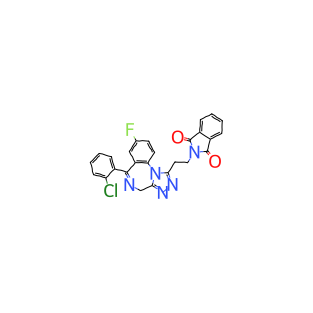 O=C1c2ccccc2C(=O)N1CCc1nnc2n1-c1ccc(F)cc1C(c1ccccc1Cl)=NC2